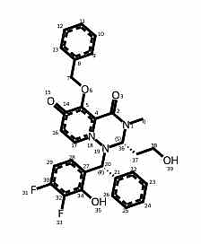 CN1C(=O)c2c(OCc3ccccc3)c(=O)ccn2N([C@H](c2ccccc2)c2ccc(F)c(F)c2O)[C@H]1CCO